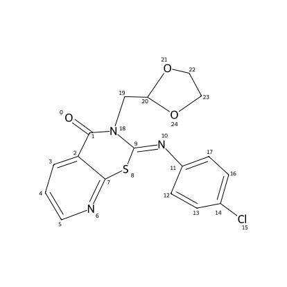 O=c1c2cccnc2s/c(=N\c2ccc(Cl)cc2)n1CC1OCCO1